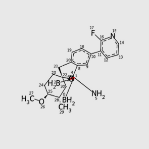 BC1(B)OC(N)=N[C@]12c1cc(-c3cccnc3F)ccc1C[C@@]21CC[C@H](OC)[C@@H](C)C1